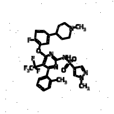 Cc1ccccc1-c1nc(NS(=O)(=O)c2cnn(C)c2)nc(Oc2cc(C3CCN(C)CC3)ccc2F)c1C(F)(F)C(F)(F)F